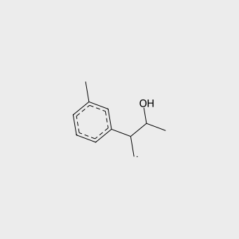 [CH2]C(c1cccc(C)c1)C(C)O